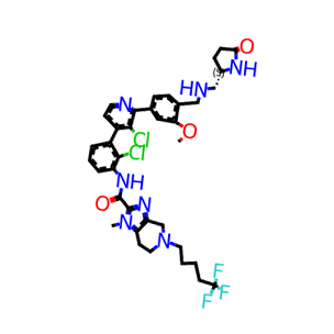 COc1cc(-c2nccc(-c3cccc(NC(=O)c4nc5c(n4C)CCN(CCCCC(F)(F)F)C5)c3Cl)c2Cl)ccc1CNC[C@@H]1CCC(=O)N1